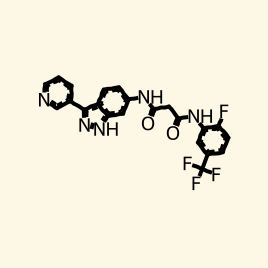 O=C(CC(=O)Nc1cc(C(F)(F)F)ccc1F)Nc1ccc2c(-c3cccnc3)n[nH]c2c1